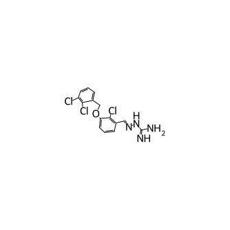 N=C(N)N/N=C/c1cccc(OCc2cccc(Cl)c2Cl)c1Cl